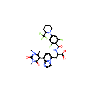 Cc1c(-c2ccc(CC(NC(=O)c3c(F)cc(N4CCCCC4C(F)(F)F)cc3F)C(=O)O)n3ccnc23)c(=O)n(C)c(=O)n1C